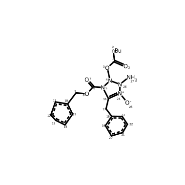 CCCCC(=O)ON1N(C(=O)OCc2ccccc2)C(Cc2ccccc2)=[N+]([O-])N1N